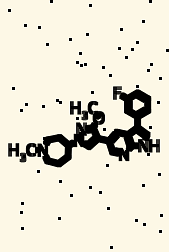 COc1nn(C2CCCN(C)CC2)cc1-c1cnc2[nH]cc(-c3cccc(F)c3)c2c1